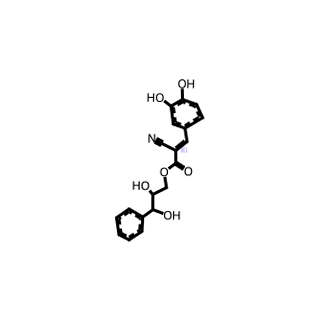 N#C/C(=C\c1ccc(O)c(O)c1)C(=O)OCC(O)C(O)c1ccccc1